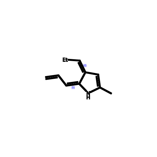 C=C/C=c1/[nH]c(C)c/c1=C/CC